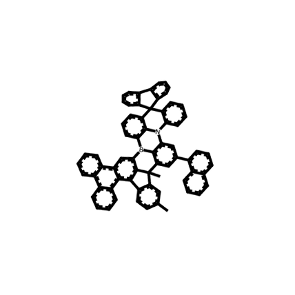 Cc1ccc2c(c1)C1(C)c3cc(-c4cccc5ccccc45)cc4c3B(c3cccc5c3N4c3ccccc3C53c4ccccc4-c4ccccc43)c3cc4c5ccccc5c5ccccc5c4c-2c31